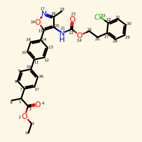 CCOC(=O)C(C)c1ccc(-c2ccc(-c3onc(C)c3NC(=O)OCCc3ccccc3Cl)cc2)cc1